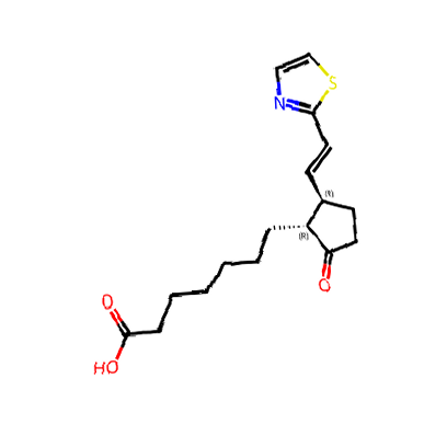 O=C(O)CCCCCC[C@H]1C(=O)CC[C@@H]1C=Cc1nccs1